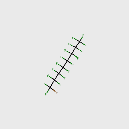 FC(F)(F)C(F)(F)C(F)(F)C(F)(F)C(F)(F)C(F)(F)C(F)(F)C(F)(F)[S]